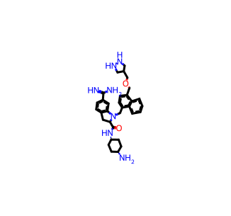 N=C(N)c1ccc2c(c1)N(Cc1ccc(COCC3CNNC3)c3ccccc13)C(C(=O)N[C@H]1CC[C@H](N)CC1)C2